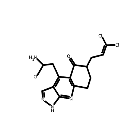 NC(Cl)Cc1c2c(nc3[nH]ncc13)CCC(CC=C(Cl)Cl)C2=O